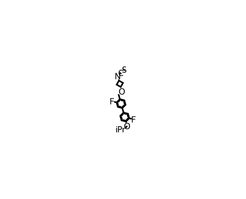 CC(C)Oc1ccc(-c2ccc(CO[C@H]3C[C@H](N=C=S)C3)c(F)c2)cc1F